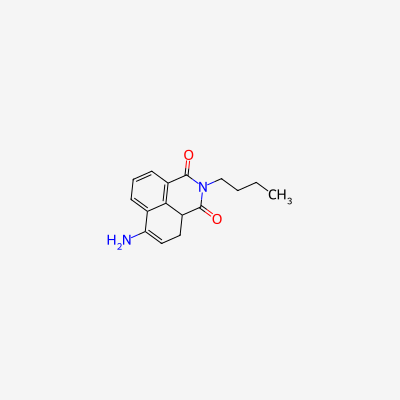 CCCCN1C(=O)c2cccc3c2C(CC=C3N)C1=O